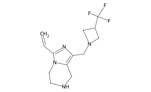 C=Cc1nc(CN2CC(C(F)(F)F)C2)c2n1CCNC2